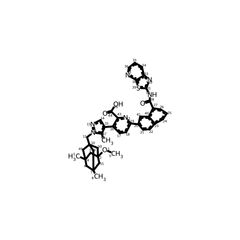 COC12CC3(C)CC(C)(CC(Cn4ncc(-c5ccc(-c6ccc7cccc(C(=O)Nc8nc9cccnc9s8)c7c6)nc5C(=O)O)c4C)(C3)C1)C2